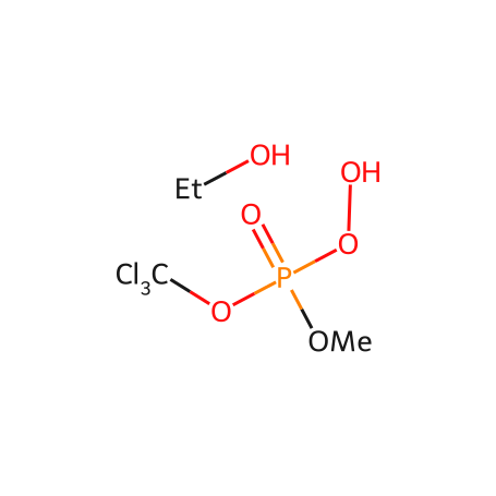 CCO.COP(=O)(OO)OC(Cl)(Cl)Cl